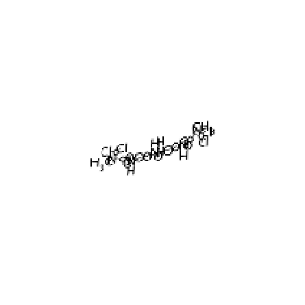 CN1Cc2c(Cl)cc(Cl)cc2C(c2ccc(S(=O)(=O)NCCOCCOCCNC(=O)NCCOCCOCCNS(=O)(=O)c3ccc(C4CN(C)Cc5c(Cl)cc(Cl)cc54)cc3)cc2)C1